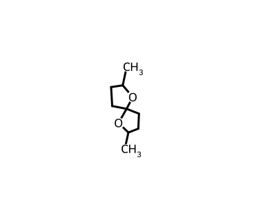 CC1CCC2(CCC(C)O2)O1